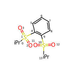 CC(C)S(=O)(=O)c1[c]cccc1S(=O)(=O)C(C)C